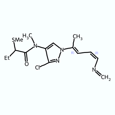 C=N/C=C\C=C(/C)n1cc(N(C)C(=O)C(CC)SC)c(Cl)n1